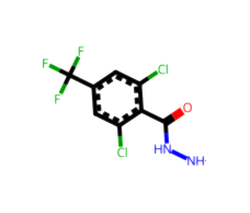 [NH]NC(=O)c1c(Cl)cc(C(F)(F)F)cc1Cl